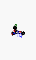 O=C(Nc1ccccc1)Nc1ncc(Oc2ccc(Cl)cc2)c(N2CCOCC2)n1